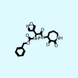 O=C(NC(C(=O)NC1CCCNC(=O)C1=O)c1cnoc1)OCc1ccccc1